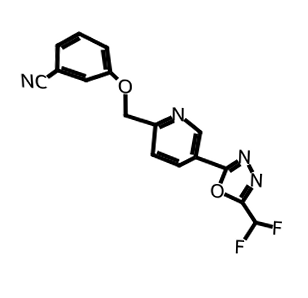 N#Cc1cccc(OCc2ccc(-c3nnc(C(F)F)o3)cn2)c1